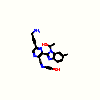 CB(O)n1c(-c2nc(C#CCN)cnc2/B=N/C#CO)nc2ccc(C)cc21